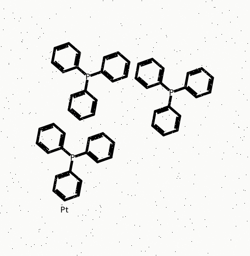 [Pt].c1ccc(P(c2ccccc2)c2ccccc2)cc1.c1ccc(P(c2ccccc2)c2ccccc2)cc1.c1ccc(P(c2ccccc2)c2ccccc2)cc1